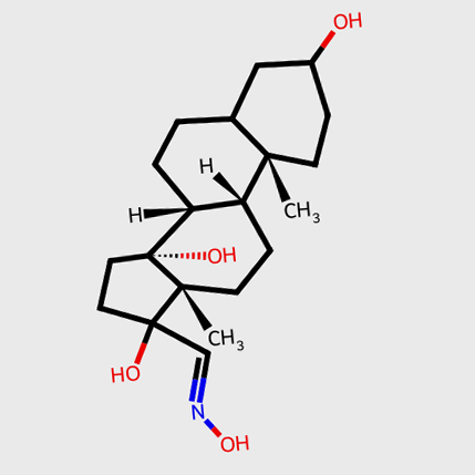 C[C@]12CCC(O)CC1CC[C@@H]1[C@H]2CC[C@]2(C)C(O)(/C=N/O)CC[C@@]12O